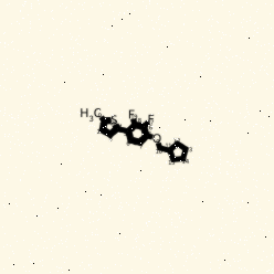 Cc1ccc(-c2ccc(OCC3CCCC3)c(F)c2F)s1